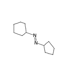 C1CCC(/N=N/C2CCCC2)CC1